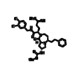 CSC(=N)CC[C@H](C(=O)NCc1ccc(Cl)c(Cl)c1)N1CCC(CCc2ccccc2)N2C[C@H](NC(=O)OC(C)(C)C)C[C@H]2C1=O